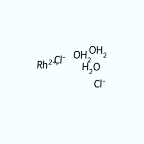 O.O.O.[Cl-].[Cl-].[Rh+2]